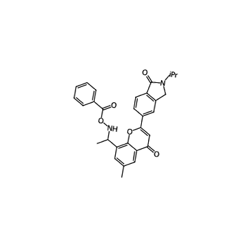 Cc1cc(C(C)NOC(=O)c2ccccc2)c2oc(-c3ccc4c(c3)CN(C(C)C)C4=O)cc(=O)c2c1